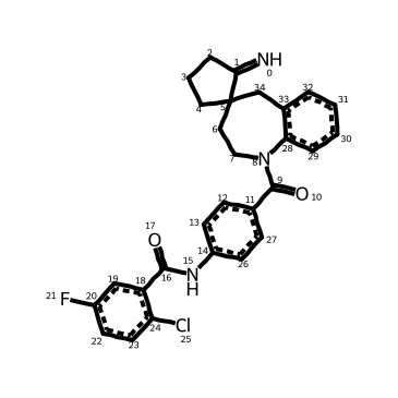 N=C1CCCC12CCN(C(=O)c1ccc(NC(=O)c3cc(F)ccc3Cl)cc1)c1ccccc1C2